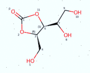 O=C1O[C@H](CO)[C@H](C(O)CO)O1